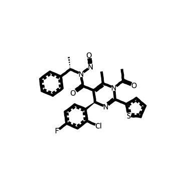 CC(=O)N1C(c2cccs2)=N[C@@H](c2ccc(F)cc2Cl)C(C(=O)N(N=O)[C@@H](C)c2ccccc2)=C1C